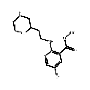 O=NOC(=O)c1cc(Br)cnc1NCCC1CNCCO1